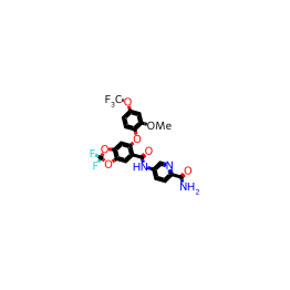 COc1cc(OC(F)(F)F)ccc1Oc1cc2c(cc1C(=O)Nc1ccc(C(N)=O)nc1)OC(F)(F)O2